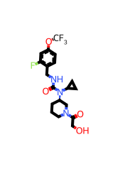 O=C(CO)N1CCC[C@@H](N(C(=O)NCc2ccc(OC(F)(F)F)cc2F)C2CC2)C1